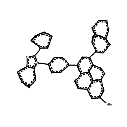 CC(C)(C)c1cc2ccc3c(-c4ccc(-n5c(-c6ccccc6)nc6ccccc65)cc4)cc(-c4ccc5ccccc5c4)c4ccc(c1)c2c34